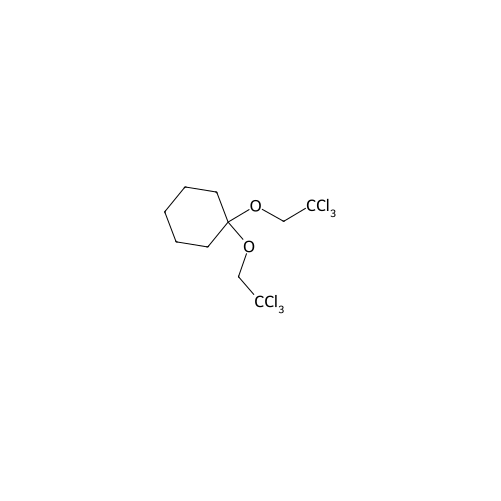 ClC(Cl)(Cl)COC1(OCC(Cl)(Cl)Cl)CCCCC1